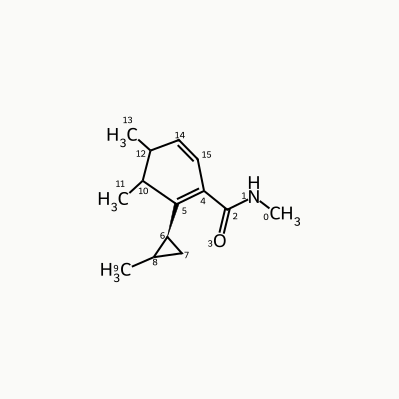 CNC(=O)C1=C([C@H]2CC2C)C(C)C(C)C=C1